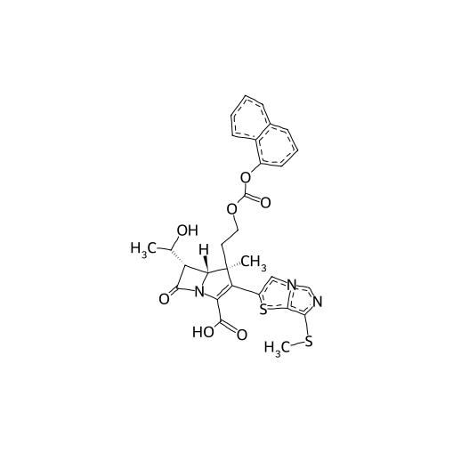 CSc1ncn2cc(C3=C(C(=O)O)N4C(=O)[C@H](C(C)O)[C@@H]4[C@@]3(C)CCOC(=O)Oc3cccc4ccccc34)sc12